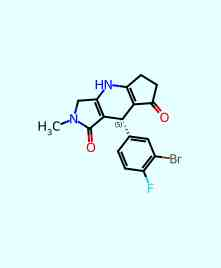 CN1CC2=C(C1=O)[C@@H](c1ccc(F)c(Br)c1)C1=C(CCC1=O)N2